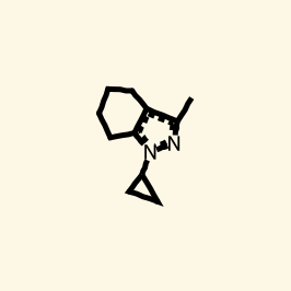 Cc1nn(C2CC2)c2c1CCCC2